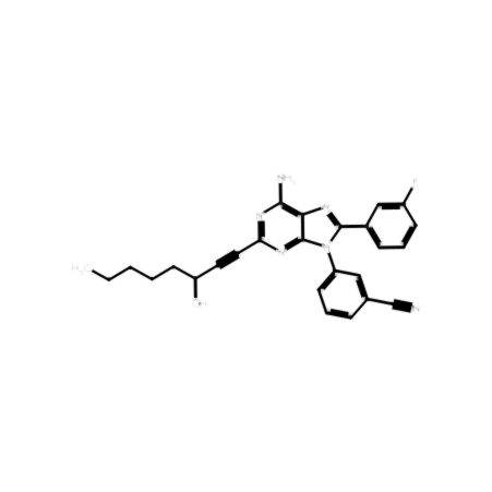 CCCCCC(O)C#Cc1nc(N)c2nc(-c3cccc(F)c3)n(-c3cccc(C#N)c3)c2n1